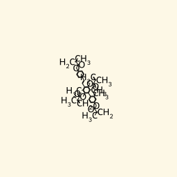 C=C(C)C(=O)Oc1ccc(/C=C/c2c(C)c(OC(=O)C(=C)C)c(-c3ccc(OC(=O)C(=C)C)cc3C)c(C)c2OC(=O)C(=C)C)cc1